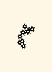 c1ccc(-n2c3ccc(-c4cccc(-c5ccc6c7c(cccc57)-c5ccccc5-6)c4)cc3c3ccc4c5ccccc5oc4c32)cc1